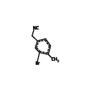 [C-]#[N+]Cc1ccc(C)c(Br)c1